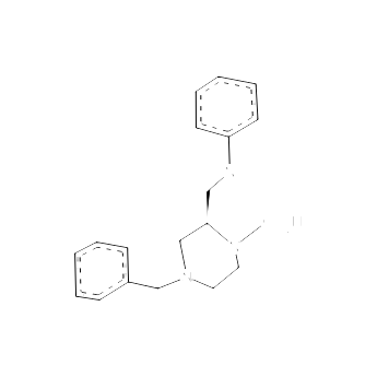 O=C(O)N1CCN(Cc2ccccc2)C[C@H]1CNc1ccccc1